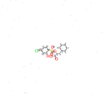 O=C(O)C(Cc1ccccc1)OS(=O)(=O)c1ccc(Cl)cc1